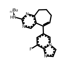 CC[C@H](C)Nc1ncc2c(n1)CCCC=C2c1cc(F)c2nccn2c1